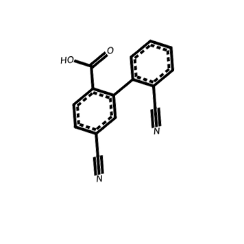 N#Cc1ccc(C(=O)O)c(-c2ccccc2C#N)c1